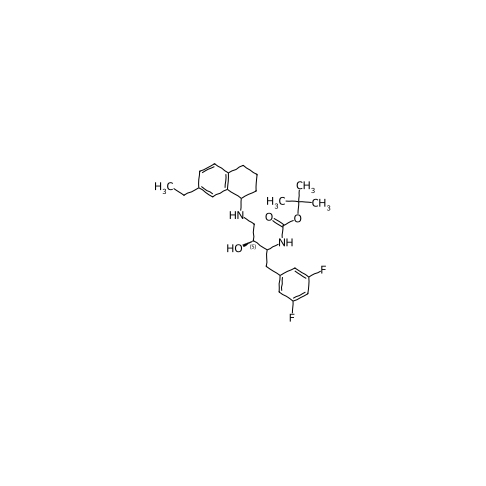 CCc1ccc2c(c1)C(NC[C@H](O)C(Cc1cc(F)cc(F)c1)NC(=O)OC(C)(C)C)CCC2